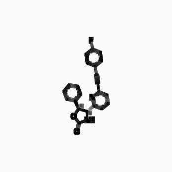 O=C1N[C@@H](c2cccc(C#Cc3ccc(F)cc3)n2)[C@H](c2ccccc2)O1